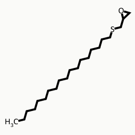 CCCCCCCCCCCCCCCCCCSCC1CO1